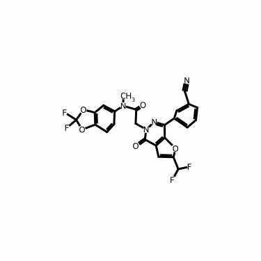 CN(C(=O)Cn1nc(-c2cccc(C#N)c2)c2oc(C(F)F)cc2c1=O)c1ccc2c(c1)OC(F)(F)O2